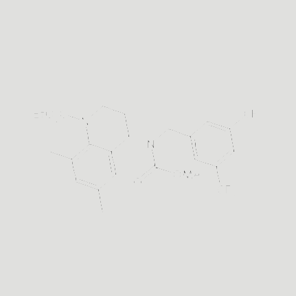 CCOC(=O)N1c2c(C)cc(C)cc2[C@@H](N(Cc2cc(C(F)(F)F)cc(C(F)(F)F)c2)C(=O)OC)C[C@H]1C